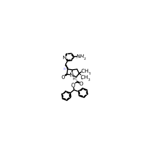 CC1(C)CC2/C(=C\c3cc(N)ccn3)C(=O)N2[C@H]1C(=O)OC(c1ccccc1)c1ccccc1